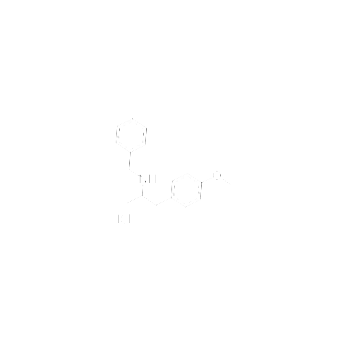 COc1ccc(CC(C)NCc2ccccc2)cc1.Cl